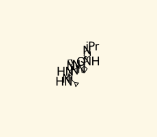 CC(C)N1CCC(NC(=O)[C@@H]2CCCN2c2nc(Nc3cc(C4CC4)[nH]n3)n3cccc3n2)CC1